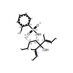 C/C=C(\C)C(O)(/C(C)=C/C)[C@@H](NS(=O)(=O)c1ccccc1F)[C@@H](C)CC